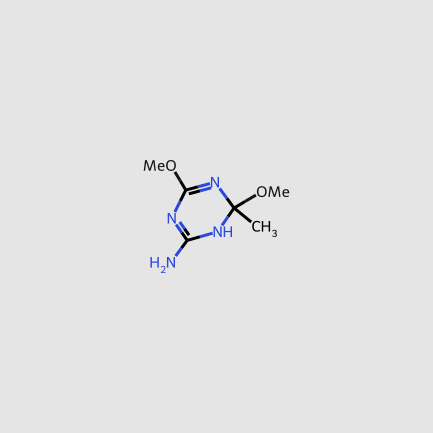 COC1=NC(C)(OC)NC(N)=N1